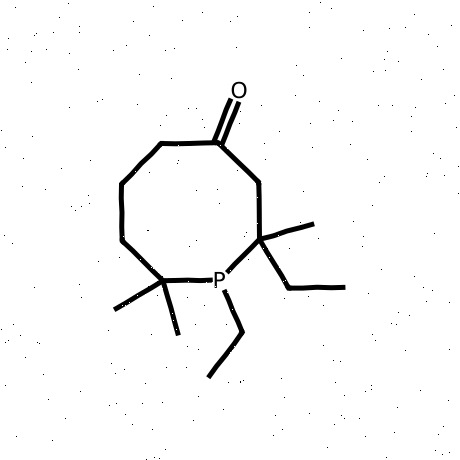 CCP1C(C)(C)CCCC(=O)CC1(C)CC